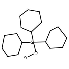 [Zr][O][Si](C1CCCCC1)(C1CCCCC1)C1CCCCC1